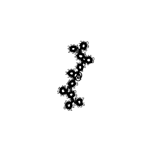 O=C(c1ccc(-n2c3ccccc3c3cc(N(c4ccccc4)c4ccccc4)ccc32)cc1)c1ccccc1C(=O)c1ccc(-n2c3ccccc3c3cc(N(c4ccccc4)c4ccccc4)ccc32)cc1